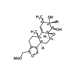 COCc1occ2c1CC[C@]1(C)C3=C[C@@H](C)[C@@](O)(C(C)C)[C@@H](O)[C@@]34O[C@H]4C[C@@H]21